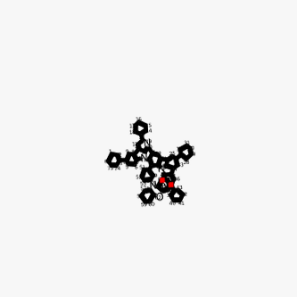 c1ccc(-c2ccc3c(c2)c2cc(-c4ccccc4)nc4c5cc6c7cc(-c8ccccc8)cc8c9cc(-c%10ccccc%10)ncc9n(c6c(-c6cccc(N9c%10ccccc%10Oc%10ccccc%109)c6)c5n3c24)c87)cc1